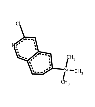 [CH3][Sn]([CH3])([CH3])[c]1ccc2cnc(Cl)cc2c1